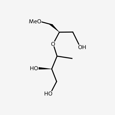 COC[C@@H](CO)OC(C)[C@H](O)CO